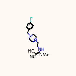 CNC(NCCN1CCN(Cc2ccc(F)cc2)CC1)=C(C#N)C#N